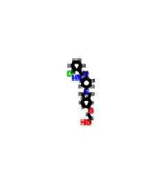 OCCOc1ccc2c(c1)CN(C1CCc3nc(-c4ccccc4Cl)[nH]c3C1)C2